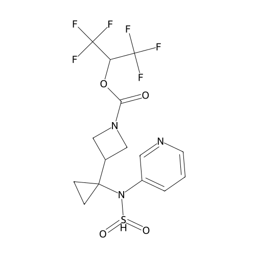 O=C(OC(C(F)(F)F)C(F)(F)F)N1CC(C2(N(c3cccnc3)[SH](=O)=O)CC2)C1